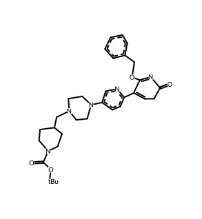 CC(C)(C)OC(=O)N1CCC(CN2CCN(c3ccc(C4=CCC(=O)N=C4OCc4ccccc4)nc3)CC2)CC1